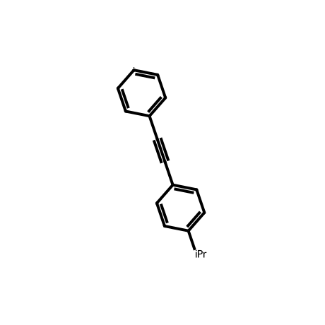 CC(C)c1ccc(C#Cc2cc[c]cc2)cc1